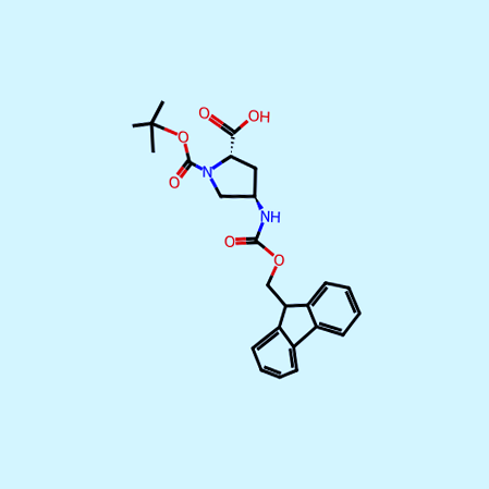 CC(C)(C)OC(=O)N1C[C@H](NC(=O)OCC2c3ccccc3-c3ccccc32)C[C@H]1C(=O)O